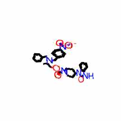 CC(COC(=O)N1CCC(n2c(=O)[nH]c3ccccc32)CC1)N(Cc1ccccc1)Cc1ccc([N+](=O)[O-])cc1